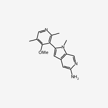 COc1c(C)cnc(C)c1-c1cc2cc(N)ncc2n1C